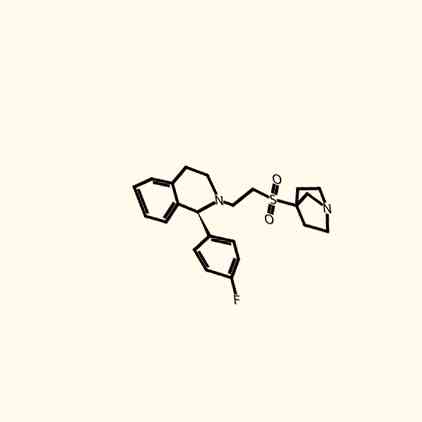 O=S(=O)(CCN1CCc2ccccc2[C@@H]1c1ccc(F)cc1)C12CCN(CC1)C2